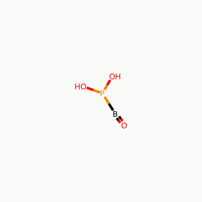 O=BP(O)O